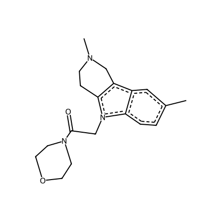 Cc1ccc2c(c1)c1c(n2CC(=O)N2CCOCC2)CCN(C)C1